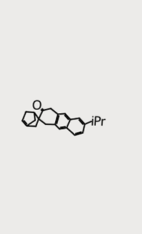 CC(C)c1ccc2cc3c(cc2c1)CC(=O)C1(CC2=CCC1C2)C3